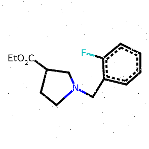 CCOC(=O)C1CCN(Cc2ccccc2F)C1